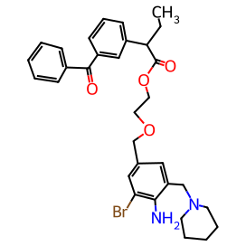 CCC(C(=O)OCCOCc1cc(Br)c(N)c(CN2CCCCC2)c1)c1cccc(C(=O)c2ccccc2)c1